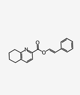 O=C(OC=Cc1ccccc1)c1ccc2c(n1)CCCC2